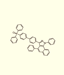 O=P(c1ccccc1)(c1ccccc1)c1ccc(-c2ccc(-c3nn(-c4ccccc4)c4c3c(-c3ccccc3)cc3ccccc34)cc2)cc1